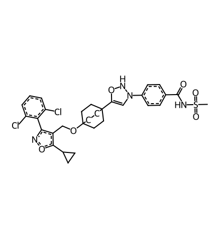 CS(=O)(=O)NC(=O)c1ccc(N2C=C(C34CCC(OCc5c(-c6c(Cl)cccc6Cl)noc5C5CC5)(CC3)CC4)ON2)cc1